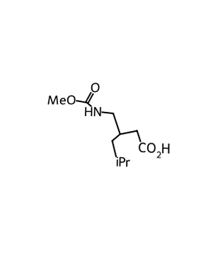 COC(=O)NCC(CC(=O)O)CC(C)C